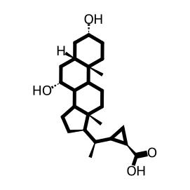 C[C@H](C1C[C@H]1C(=O)O)[C@H]1CCC2C3C(CC[C@@]21C)[C@@]1(C)CC[C@@H](O)C[C@H]1C[C@H]3O